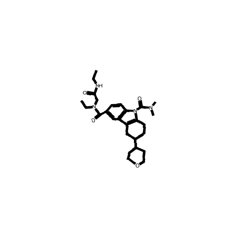 CCNC(=O)CN(CC)C(=O)c1ccc2c(c1)c1c(n2C(=O)N(C)C)CCC(C2CCOCC2)C1